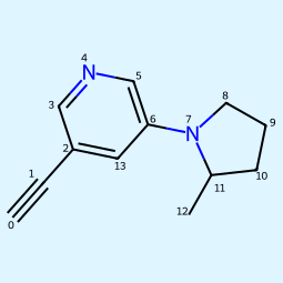 C#Cc1cncc(N2CCCC2C)c1